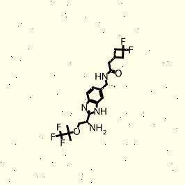 C[C@@H](NC(=O)CC1CC(F)(F)C1)c1ccc2nc([C@@H](N)COC(C)(C)C(F)(F)F)[nH]c2c1